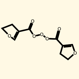 O=C(OOOC(=O)C1=COCC1)C1=COCC1